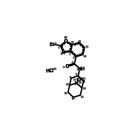 CCc1nc2c(C(=O)NC3CC4CCCC(C3)N4C)cccc2o1.Cl